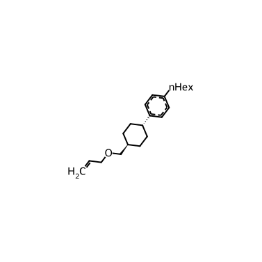 C=CCOC[C@H]1CC[C@H](c2ccc(CCCCCC)cc2)CC1